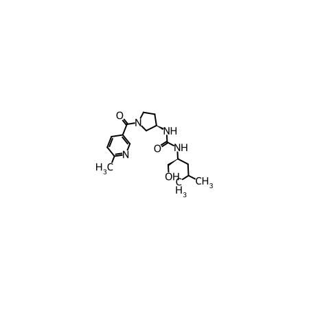 Cc1ccc(C(=O)N2CC[C@@H](NC(=O)N[C@H](CO)CC(C)C)C2)cn1